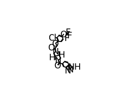 O=C(COc1ccc(OC(F)(F)F)cc1Cl)N1C[C@@H]2CN(C(=O)c3ccc4[nH]nnc4c3)C[C@H]2C1